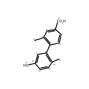 Cc1cc(C(=O)O)ccc1-c1cc(O)ccc1C